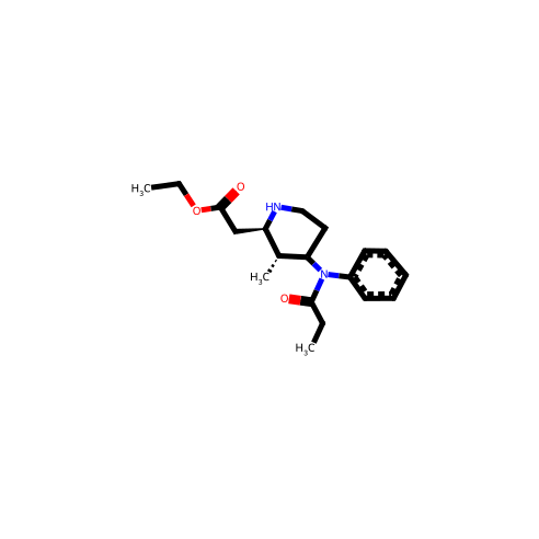 CCOC(=O)C[C@H]1NCCC(N(C(=O)CC)c2ccccc2)[C@@H]1C